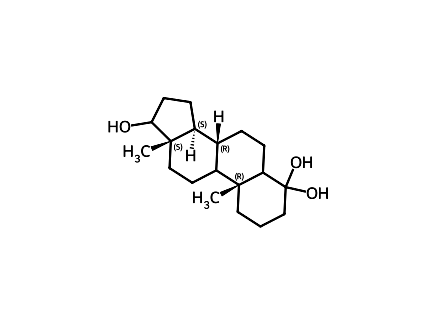 C[C@]12CCCC(O)(O)C1CC[C@@H]1C2CC[C@]2(C)C(O)CC[C@@H]12